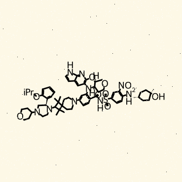 CC(C)Oc1ccccc1[C@@H]1CN(C2CCOCC2)CCN1C1C(C)(C)C2(CCN(c3ccc(C(=O)NS(=O)(=O)c4ccc(NC[C@H]5CC[C@](C)(O)CC5)c([N+](=O)[O-])c4)c(N4c5cc6cc[nH]c6nc5O[C@H]5COCC[C@@H]54)c3)CC2)C1(C)C